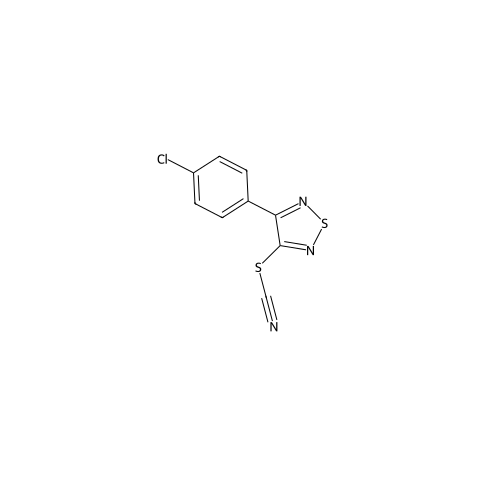 N#CSc1nsnc1-c1ccc(Cl)cc1